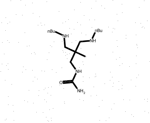 CCCCNCC(C)(CNCCCC)CNC(N)=O